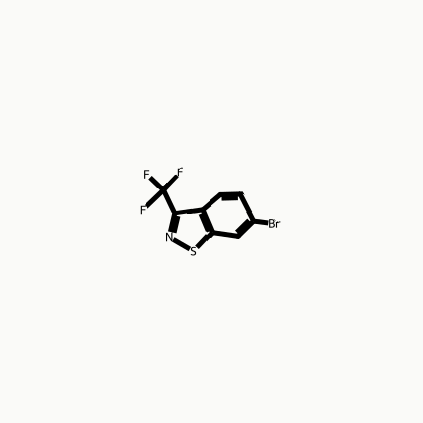 FC(F)(F)c1nsc2cc(Br)ccc12